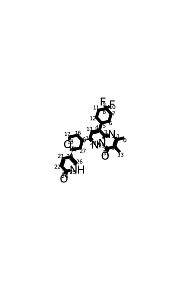 Cc1nc2c(C3CCC(F)(F)CC3)cc([C@H]3CCO[C@@H](c4ccc(=O)[nH]c4)C3)nn2c(=O)c1C